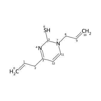 C=CCC1=N[C](S)N(CC=C)C=C1